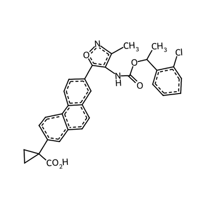 Cc1noc(-c2ccc3c(ccc4cc(C5(C(=O)O)CC5)ccc43)c2)c1NC(=O)OC(C)c1ccccc1Cl